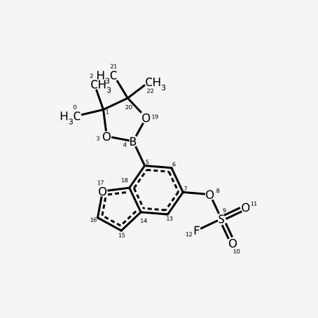 CC1(C)OB(c2cc(OS(=O)(=O)F)cc3ccoc23)OC1(C)C